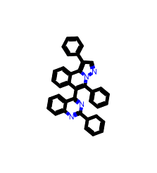 C1=CCC(c2nc(-c3c(-c4ccccc4)n4ncc(-c5ccccc5)c4c4ccccc34)c3ccccc3n2)C=C1